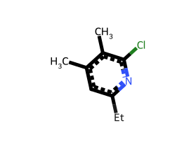 CCc1cc(C)c(C)c(Cl)n1